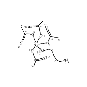 CC(=O)[O][Cu]([NH]CCN)([O]C(C)=O)([O]C(C)=O)[O]C(C)=O